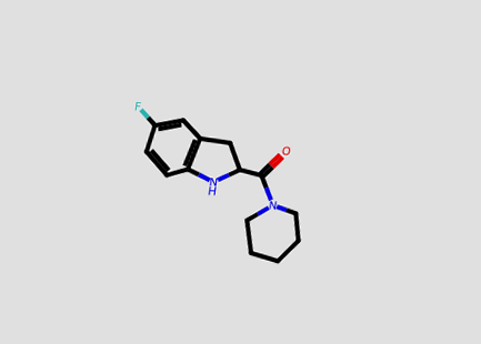 O=C(C1Cc2cc(F)ccc2N1)N1CCCCC1